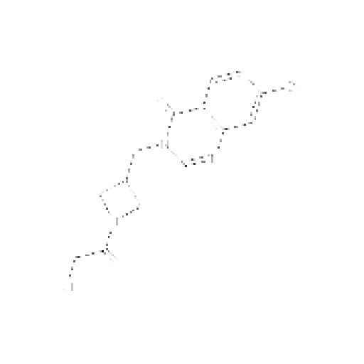 O=C(CCl)N1CC(Cn2cnc3cc(Br)ccc3c2=O)C1